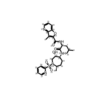 Cc1c(C(=O)N[C@@H](CC(C)C)C(=O)N[C@H]2CC[C@@H](C)N(S(=O)(=O)c3ccccn3)C[C@@H]2O)oc2cccnc12